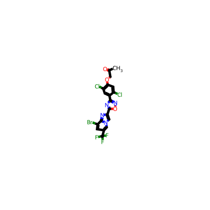 CC(=O)COc1cc(Cl)c(-c2noc(-c3cn4cc(C(F)(F)F)cc(Br)c4n3)n2)cc1Cl